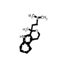 CN(C)CCC1(C)OCCc2c1[nH]c1ccccc21